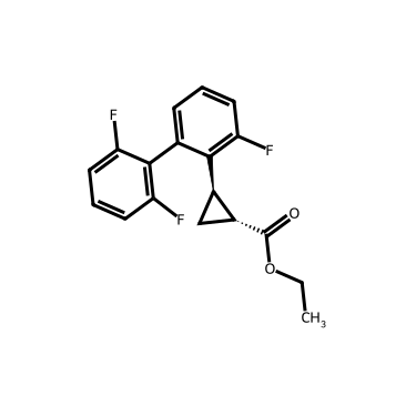 CCOC(=O)[C@@H]1C[C@H]1c1c(F)cccc1-c1c(F)cccc1F